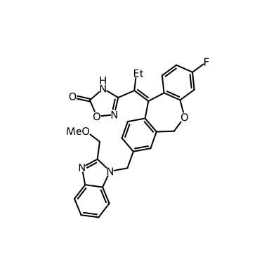 CC/C(=C1/c2ccc(Cn3c(COC)nc4ccccc43)cc2COc2cc(F)ccc21)c1noc(=O)[nH]1